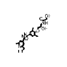 Cc1cc(-c2nnc(-c3cc(C)c(OCC(O)CNC(=O)CO)c(C)c3)o2)cc(CC(C)C)n1